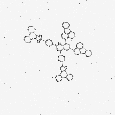 c1ccc2c(c1)-c1cccc3c(-c4cc(-c5ccc6c7c(cccc57)-c5ccccc5-6)c5nc(-c6ccc(-c7nc8c9ccccc9c9ccccc9c8o7)cc6)nc(-c6ccc(-c7cc8c9ccccc9c9ccccc9c8o7)cc6)c5c4)ccc-2c13